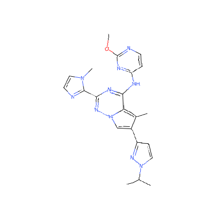 COc1nccc(Nc2nc(-c3nccn3C)nn3cc(-c4ccn(C(C)C)n4)c(C)c23)n1